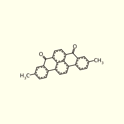 Cc1ccc2c(c1)C(=O)c1ccc3c4c(ccc-2c14)-c1ccc(C)cc1C3=O